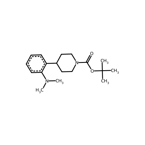 CN(C)c1ccccc1C1CCN(C(=O)OC(C)(C)C)CC1